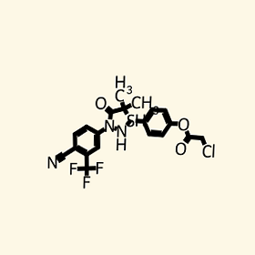 CC1(C)C(=O)N(c2ccc(C#N)c(C(F)(F)F)c2)N[SH]1c1ccc(OC(=O)CCl)cc1